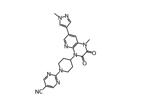 Cn1cc(-c2cnc3c(c2)n(C)c(=O)c(=O)n3C2CCN(c3ncc(C#N)cn3)CC2)cn1